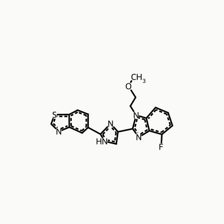 COCCn1c(-c2c[nH]c(-c3ccc4scnc4c3)n2)nc2c(F)cccc21